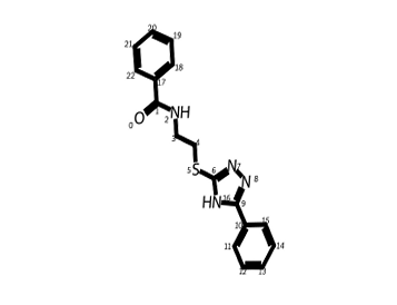 O=C(NCCSc1nnc(-c2ccccc2)[nH]1)c1ccccc1